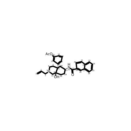 C=CCN1CC[C@@]2(c3cccc(OC(C)=O)c3)C[C@H](NC(=O)c3ccc4ccccc4c3)CC[C@]2(O)C1